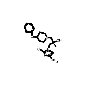 C[C@](O)(CN1CCC(Oc2ccccc2)CC1)Cn1cc([N+](=O)[O-])nc1Cl